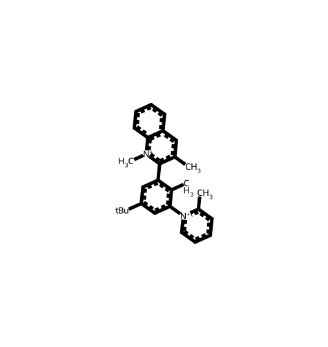 Cc1cc2ccccc2[n+](C)c1-c1cc(C(C)(C)C)cc(-[n+]2ccccc2C)c1C